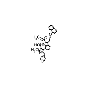 CCOC(=O)c1[nH]c2c(-c3c(CN4CCOCC4)nn(C)c3CO)cccc2c1CCCOc1cccc2ccccc12